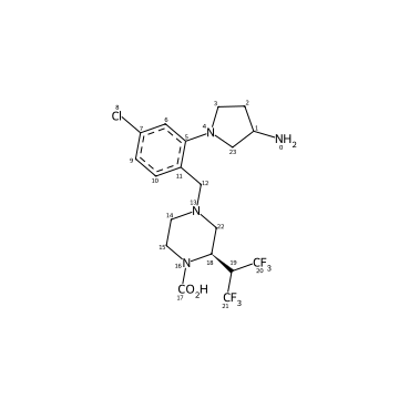 NC1CCN(c2cc(Cl)ccc2CN2CCN(C(=O)O)[C@H](C(C(F)(F)F)C(F)(F)F)C2)C1